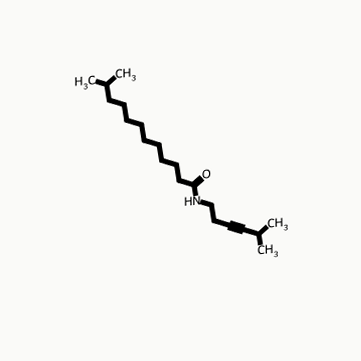 CC(C)C#CCCNC(=O)CCCCCCCCCC(C)C